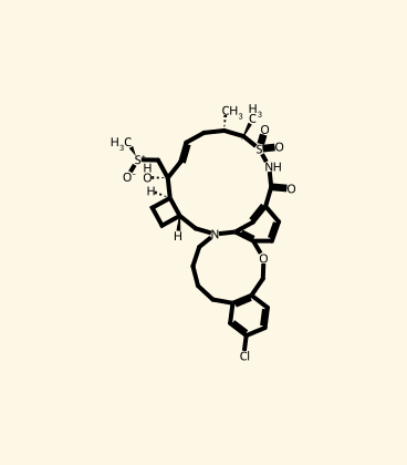 C[C@@H]1[C@@H](C)C/C=C/[C@](O)(C[S@+](C)[O-])[C@@H]2CC[C@H]2CN2CCCCc3cc(Cl)ccc3COc3ccc(cc32)C(=O)NS1(=O)=O